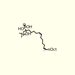 CCCCCCCC/C=C\CCCC/C=C\CCCCC(O)(C[N+](C)(C)C)P(=O)(O)O